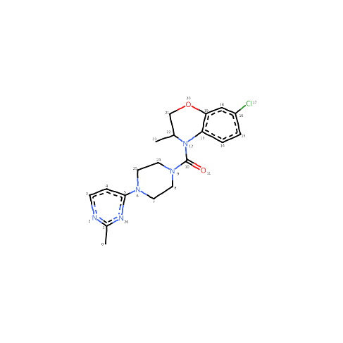 Cc1nccc(N2CCN(C(=O)N3c4ccc(Cl)cc4OCC3C)CC2)n1